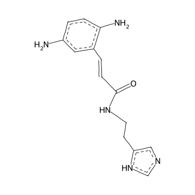 Nc1ccc(N)c(C=CC(=O)NCCc2cnc[nH]2)c1